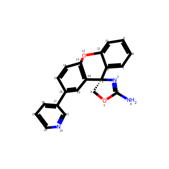 NC1=N[C@]2(CO1)c1ccccc1Oc1ccc(-c3cccnc3)cc12